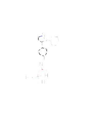 CC(C)(C)OC(=O)NCc1ccc(-c2ccnn2C2CCCCO2)cc1